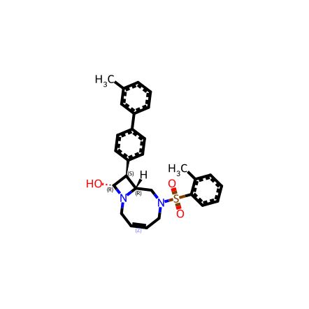 Cc1cccc(-c2ccc([C@@H]3[C@@H](O)N4C/C=C\CN(S(=O)(=O)c5ccccc5C)C[C@@H]34)cc2)c1